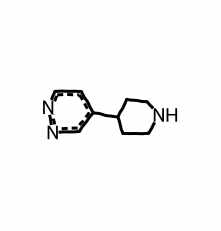 c1cc(C2CCNCC2)cnn1